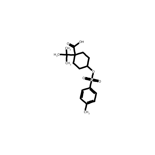 Cc1ccc(S(=O)(=O)OC2CCC(C(=O)O)(C(C)(C)C)CC2)cc1